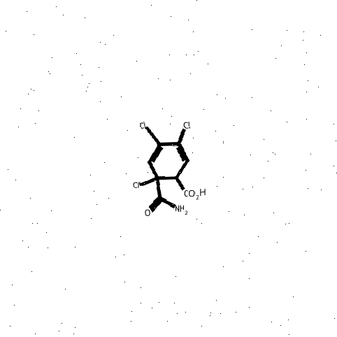 NC(=O)C1(Cl)C=C(Cl)C(Cl)=CC1C(=O)O